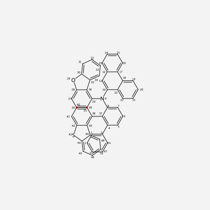 c1ccc(-c2cccc(N(c3cc4ccccc4c4ccccc34)c3cccc4oc5ccccc5c34)c2-c2cccc3sc4ccccc4c23)cc1